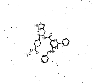 COC(=O)N1CCN(C(=O)C(Cc2nn[nH]n2)NC(=O)c2cc(NCc3ccccc3)nc(-c3ccccc3)n2)CC1